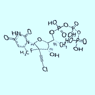 Cc1cc(=O)[nH]c(=O)n1[C@@H]1OC([C@@H](C)OP(=O)(O)OP(=O)(O)OP(=O)(O)O)[C@H](O)C1(F)C#CCl